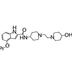 CC(C)Oc1cccc2[nH]c(C(=O)NC3CCN(CCN4CCC(O)CC4)CC3)cc12